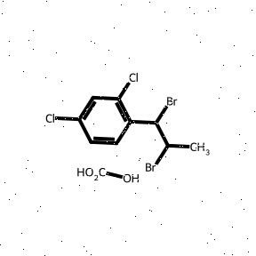 CC(Br)C(Br)c1ccc(Cl)cc1Cl.O=C(O)O